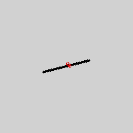 CCCCCCCCCCCCCCCCCCCC(=O)OCCCCCCCCCCCCCCC